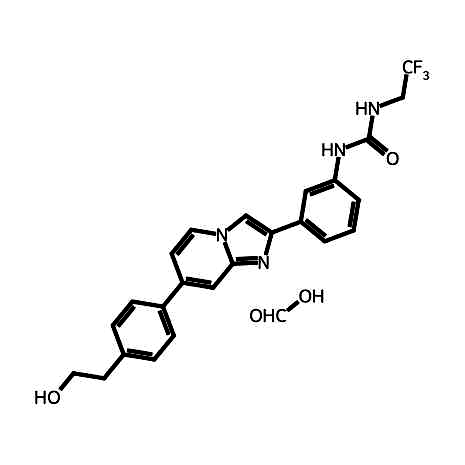 O=C(NCC(F)(F)F)Nc1cccc(-c2cn3ccc(-c4ccc(CCO)cc4)cc3n2)c1.O=CO